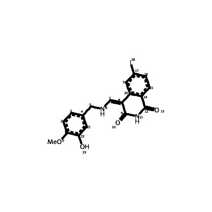 COc1ccc(CN/C=C2\C(=O)NC(=O)c3ccc(I)cc32)cc1O